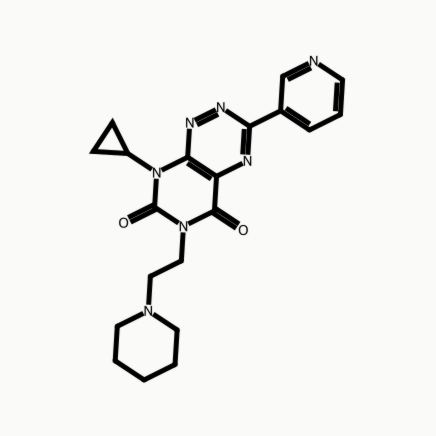 O=c1c2nc(-c3cccnc3)nnc2n(C2CC2)c(=O)n1CCN1CCCCC1